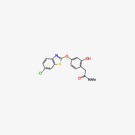 CNC(=O)Cc1ccc(Oc2nc3ccc(Cl)cc3s2)cc1O